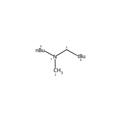 CCCCN(C)CC(C)(C)C